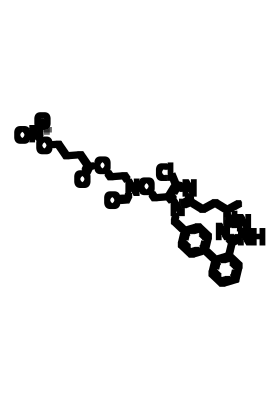 CCCCc1nc(Cl)c(CON(C=O)CCOC(=O)CCCO[N+](=O)[O-])n1Cc1ccc(-c2ccccc2-c2nnn[nH]2)cc1